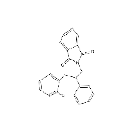 O=C1c2ccccc2C(=O)N1CC1Cc2cccnc2Oc2ccccc21